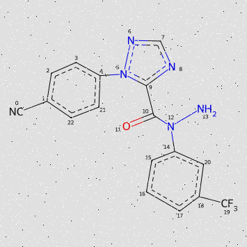 N#Cc1ccc(-n2ncnc2C(=O)N(N)c2cccc(C(F)(F)F)c2)cc1